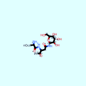 CCCCCCCCC(N)C(=O)NC(CC(=O)N[C@@H]1OC(CO)[C@H](O)[C@H](O)C1O)C(=O)C(C)C